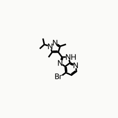 Cc1nn(C(C)C)c(C)c1-c1nc2c(Br)ccnc2[nH]1